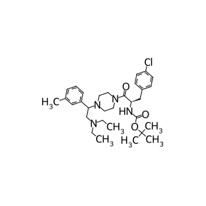 CCN(CC)CC(c1cccc(C)c1)N1CCN(C(=O)[C@@H](Cc2ccc(Cl)cc2)NC(=O)OC(C)(C)C)CC1